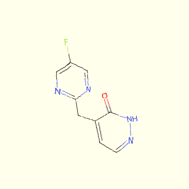 O=c1[nH]nccc1Cc1ncc(F)cn1